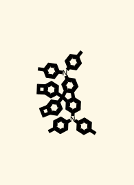 Cc1ccc(N(c2ccc(C)cc2)c2ccc3c(c2)C(c2ccc4c(c2)CC4)(c2ccc4c(c2)CC4)c2cc(N(c4ccc(C)cc4)c4ccc(C)cc4)ccc2-3)cc1